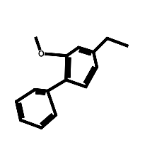 CCc1ccc(-c2ccccc2)c(OC)c1